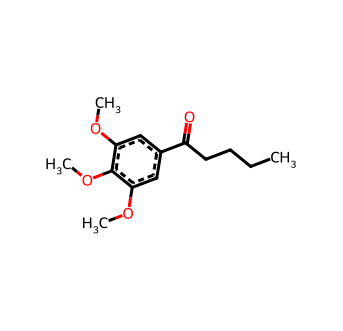 CCCCC(=O)c1cc(OC)c(OC)c(OC)c1